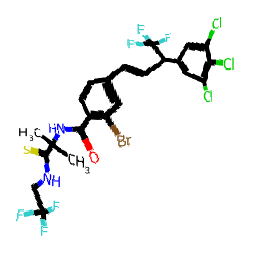 CC(C)(NC(=O)c1ccc(/C=C/C(c2cc(Cl)c(Cl)c(Cl)c2)C(F)(F)F)cc1Br)C(=S)NCC(F)(F)F